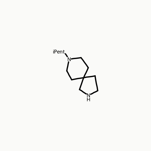 CCCC(C)N1CCC2(CCNC2)CC1